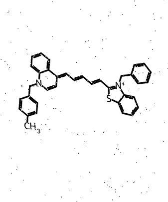 Cc1ccc(CN2C=C\C(=C/C=C/C=C/c3sc4ccccc4[n+]3Cc3ccccc3)c3ccccc32)cc1